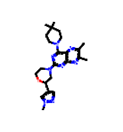 Cc1nc2nc(N3CCOC(c4cnn(C)c4)C3)nc(N3CCC(C)(C)CC3)c2nc1C